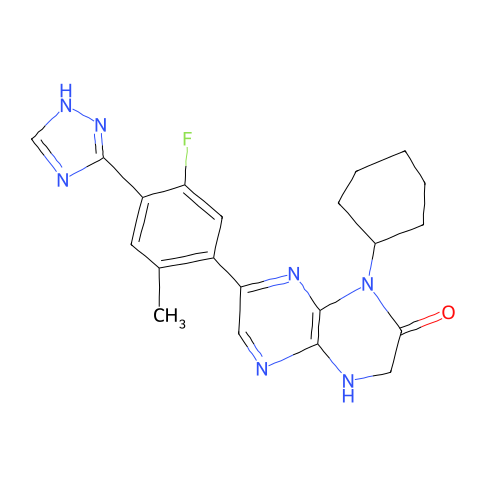 Cc1cc(-c2nc[nH]n2)c(F)cc1-c1cnc2c(n1)N(C1CCCCC1)C(=O)CN2